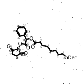 CCCCCCCCCCCCCCCCCC(=O)OC(C(=O)ON1C(=O)CCC1=O)c1ccccc1